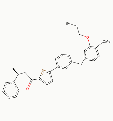 COc1ccc(Cc2cccc(-c3ccc(C(=O)C[C@H](C)c4ccccc4)s3)c2)cc1OCCC(C)C